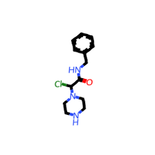 O=C(NCc1ccccc1)C(Cl)N1CCNCC1